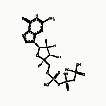 C[C@]1(Cl)[C@H](n2cnc3c(=O)[nH]c(N)nc32)O[C@](F)(COP(=O)(O)OP(=O)(O)OP(=O)(O)O)[C@H]1O